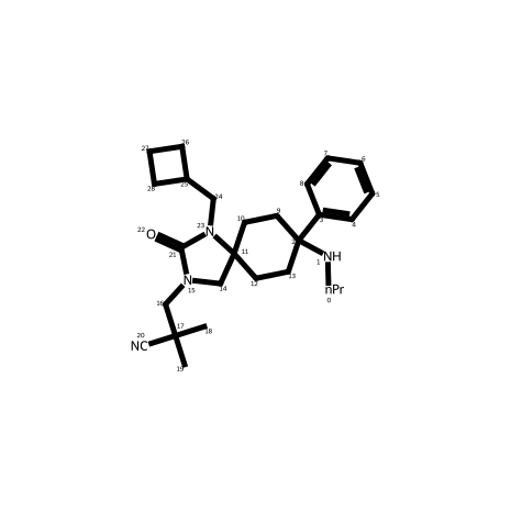 CCCNC1(c2ccccc2)CCC2(CC1)CN(CC(C)(C)C#N)C(=O)N2CC1CCC1